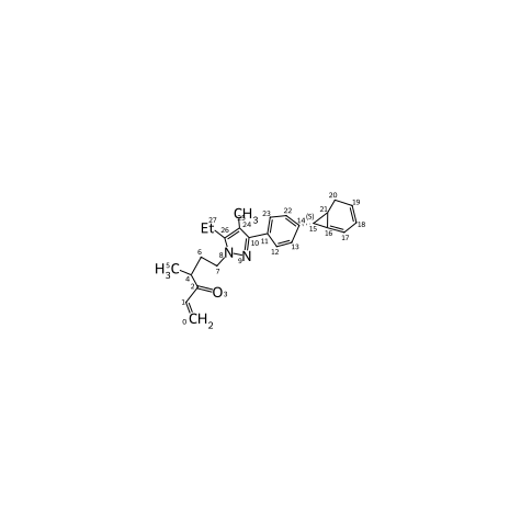 C=CC(=O)C(C)CCn1nc(-c2ccc([C@H]3C4=CC=CCC43)cc2)c(C)c1CC